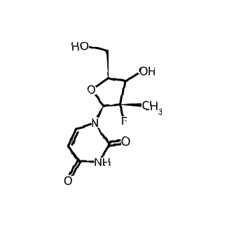 C[C@]1(F)C(O)[C@H](CO)O[C@@H]1n1ccc(=O)[nH]c1=O